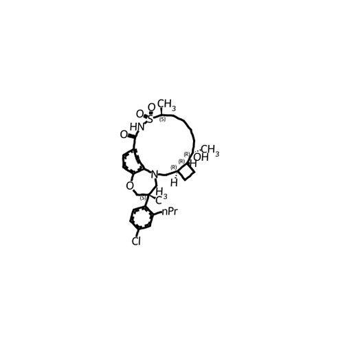 CCCc1cc(Cl)ccc1[C@]1(C)COc2ccc3cc2N(C[C@@H]2CC[C@H]2[C@](C)(O)CCCC[C@H](C)S(=O)(=O)NC3=O)C1